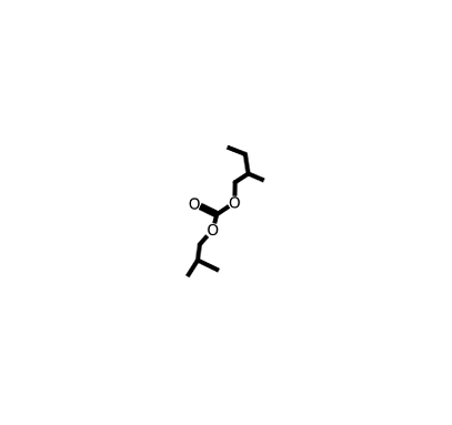 CCC(C)COC(=O)OCC(C)C